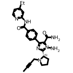 CC#CCN1CCC[C@H]1c1nc(-c2ccc(C(=O)Nc3cc(CC)ccn3)cc2)c(C(N)=O)n1N